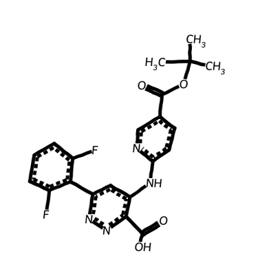 CC(C)(C)OC(=O)c1ccc(Nc2cc(-c3c(F)cccc3F)nnc2C(=O)O)nc1